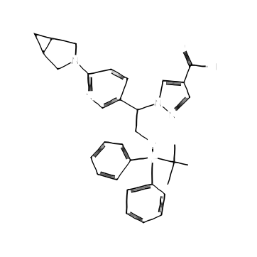 CC(C)(C)[Si](OCC(c1ccc(N2CC3CC3C2)nc1)n1cc(C(=O)O)cn1)(c1ccccc1)c1ccccc1